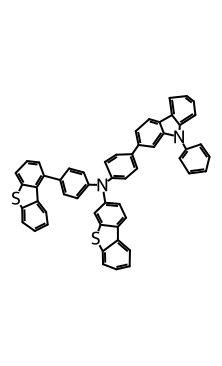 c1ccc(-n2c3ccccc3c3ccc(-c4ccc(N(c5ccc(-c6cccc7sc8ccccc8c67)cc5)c5ccc6c(c5)sc5ccccc56)cc4)cc32)cc1